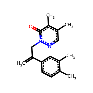 C=C(Cn1ncc(C)c(C)c1=O)c1ccc(C)c(C)c1